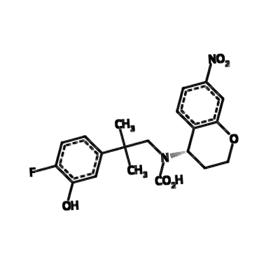 CC(C)(CN(C(=O)O)[C@H]1CCOc2cc([N+](=O)[O-])ccc21)c1ccc(F)c(O)c1